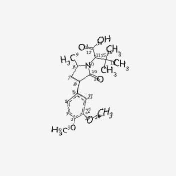 COc1ccc(C2CC(C)N(C(C(=O)O)C(C)(C)C)C2=O)cc1OC